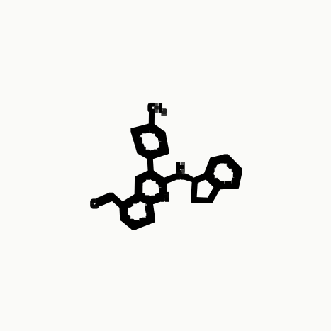 Cc1ccc(-c2cc3c(C=O)cccc3nc2N[C@@H]2CCc3ccccc32)cc1